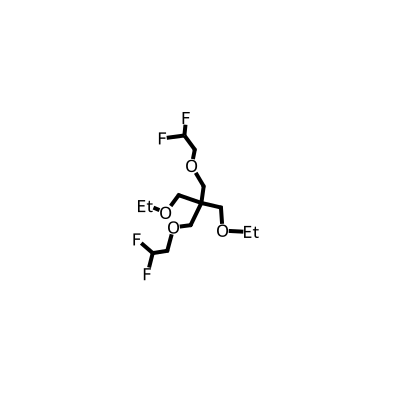 CCOCC(COCC)(COCC(F)F)COCC(F)F